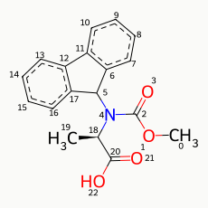 COC(=O)N(C1c2ccccc2-c2ccccc21)[C@H](C)C(=O)O